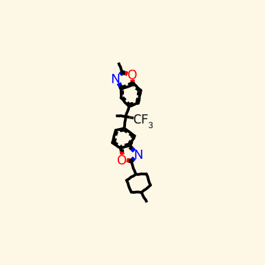 Cc1nc2cc(C(C)(c3ccc4oc(C5CCC(C)CC5)nc4c3)C(F)(F)F)ccc2o1